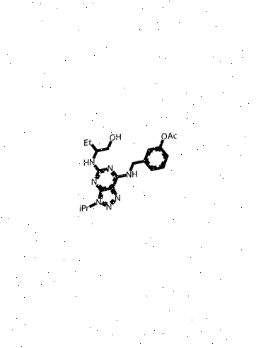 CCC(CO)Nc1nc(NCc2cccc(OC(C)=O)c2)c2nnn(C(C)C)c2n1